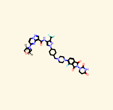 O=C1CCN(N2C(=O)c3ccc(N4CCN(CC5CCC(n6cc(NC(=O)c7cnn8ccc(N9C[C@H]%10C[C@@H]9CO%10)nc78)c(C(F)F)n6)CC5)CC4)c(F)c3C2=O)C(=O)N1